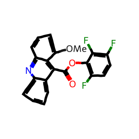 COc1cccc2nc3ccccc3c(C(=O)Oc3c(F)ccc(F)c3F)c12